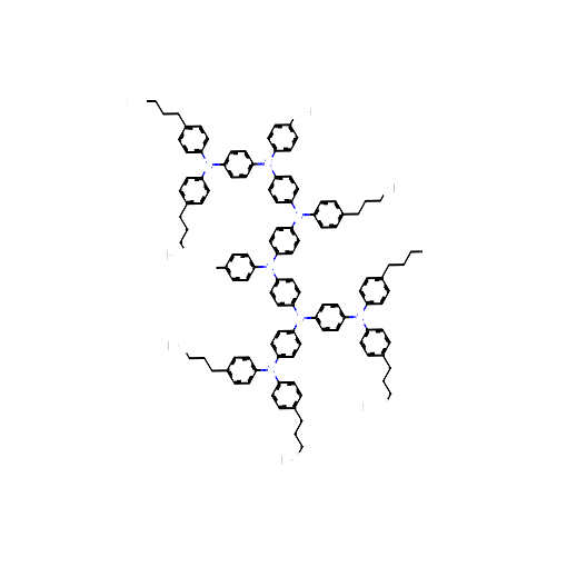 CCCCc1ccc(N(c2ccc(CCCC)cc2)c2ccc(N(c3ccc(C)cc3)c3ccc(N(c4ccc(CCCC)cc4)c4ccc(N(c5ccc(C)cc5)c5ccc(N(c6ccc(N(c7ccc(CCCC)cc7)c7ccc(CCCC)cc7)cc6)c6ccc(N(c7ccc(CCCC)cc7)c7ccc(CCCC)cc7)cc6)cc5)cc4)cc3)cc2)cc1